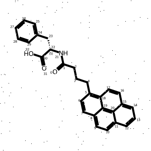 O=C(CCCc1ccc2ccc3cccc4ccc1c2c34)N[C@@H](Cc1ccccc1)C(=O)O